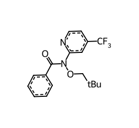 CC(C)(C)CON(C(=O)c1ccccc1)c1cc(C(F)(F)F)ccn1